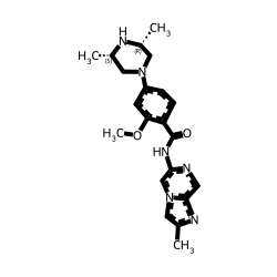 COc1cc(N2C[C@@H](C)N[C@@H](C)C2)ccc1C(=O)Nc1cn2cc(C)nc2cn1